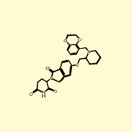 O=C1CCC(N2Cc3cc(OCC4CCCCN4Cc4cccc5c4OCCO5)ccc3C2=O)C(=O)N1